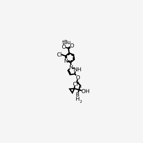 BC(O)(CCOC1C=CN(c2ccc(C(=O)OC(C)(C)C)c(Cl)n2)N1)C1(C(F)(F)F)CC1